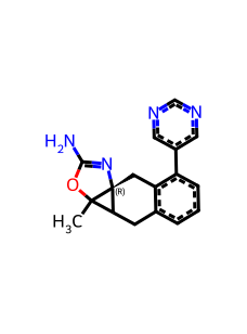 CC12OC(N)=N[C@@]13Cc1c(cccc1-c1cncnc1)CC23